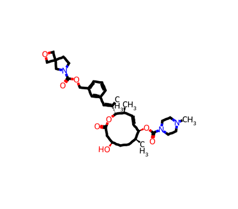 C/C(=C\c1cccc(COC(=O)N2CCC3(COC3)C2)c1)[C@H]1OC(=O)C[C@H](O)CC[C@H](C)[C@H](OC(=O)N2CCN(C)CC2)/C=C/[C@@H]1C